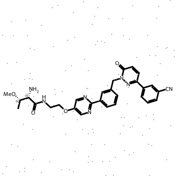 CO[C@@H](C)[C@H](N)C(=O)NCCOc1cnc(-c2cccc(Cn3nc(-c4cccc(C#N)c4)ccc3=O)c2)nc1